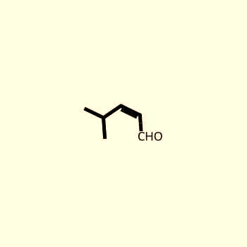 CC(C)/C=C\C=O